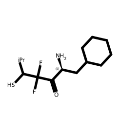 CC(C)C(S)C(F)(F)C(=O)[C@@H](N)CC1CCCCC1